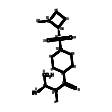 CC(C)[C@@H](C(=O)O)N(C)C(=O)C1CCN(S(=O)(=O)[C@H]2CCN2C)CC1